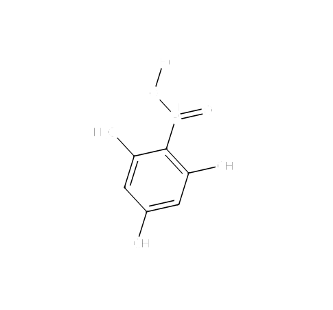 CCO[PH](=O)c1c(C)cc(C)cc1C